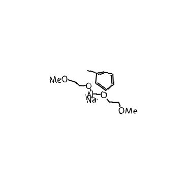 COCC[O][Al][O]CCOC.Cc1ccccc1.[Na]